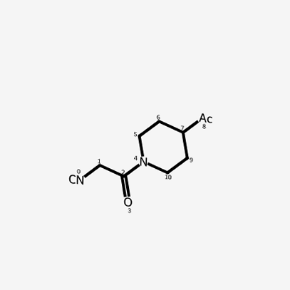 [C-]#[N+]CC(=O)N1CCC(C(C)=O)CC1